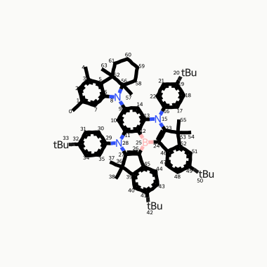 Cc1cc(C)c2c(c1)N(c1cc3c4c(c1)N(c1ccc(C(C)(C)C)cc1)C1=C(B4C4=C(N3c3ccc(C(C)(C)C)cc3)C(C)(C)c3cc(C(C)(C)C)ccc34)c3ccc(C(C)(C)C)cc3C1(C)C)C1(C)CCCCC21C